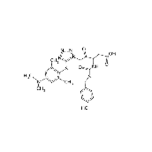 Cc1cc(N(C)C)cc(C)c1Sc1nnnn1CC(=O)C(CC(=O)O)NC(=O)SCc1ccccc1.Cl